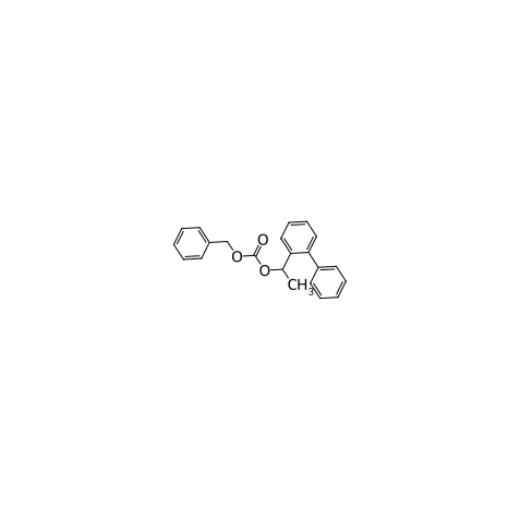 CC(OC(=O)OCc1ccccc1)c1ccccc1-c1ccccc1